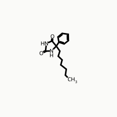 CCCCCCCC1(c2ccccc2)NC(=O)NC1=O